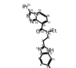 CCN(CCc1nc2ccc(F)cc2[nH]1)C(=O)c1cccn2c(C(C)C)nnc12